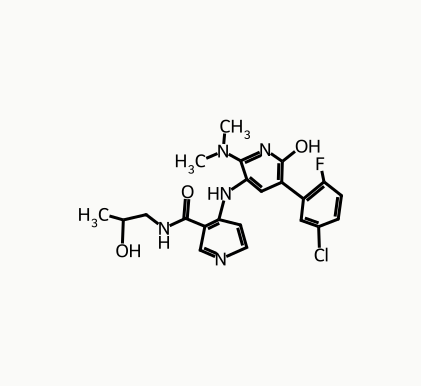 CC(O)CNC(=O)c1cnccc1Nc1cc(-c2cc(Cl)ccc2F)c(O)nc1N(C)C